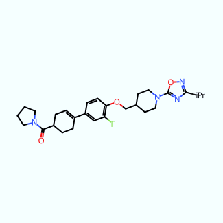 CC(C)c1noc(N2CCC(COc3ccc(C4=CCC(C(=O)N5CCCC5)CC4)cc3F)CC2)n1